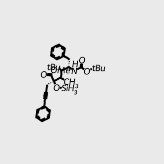 COC(=O)[C@](CC#Cc1ccccc1)(O[SiH3])C(C)[C@H]([C@H](Cc1ccccc1)NC(=O)OC(C)(C)C)C(C)(C)C